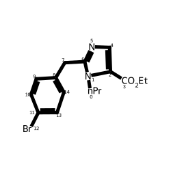 CCCn1c(C(=O)OCC)cnc1Cc1ccc(Br)cc1